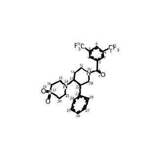 O=C(c1cc(C(F)(F)F)cc(C(F)(F)F)c1)N1CCC(N2CCS(=O)(=O)CC2)C(c2ccccc2)C1